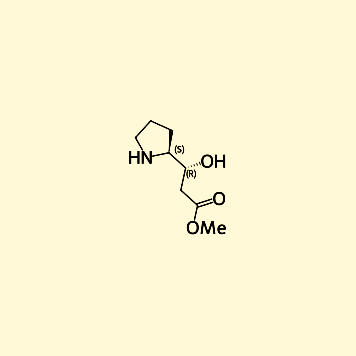 COC(=O)C[C@@H](O)[C@@H]1CCCN1